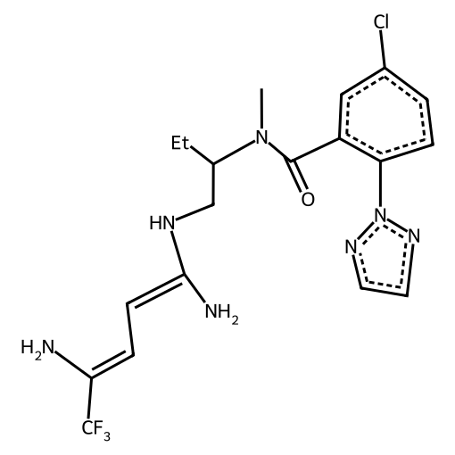 CCC(CN/C(N)=C/C=C(\N)C(F)(F)F)N(C)C(=O)c1cc(Cl)ccc1-n1nccn1